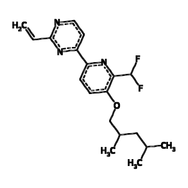 C=Cc1nccc(-c2ccc(OCC(C)CC(C)C)c(C(F)F)n2)n1